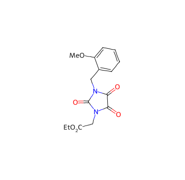 CCOC(=O)CN1C(=O)C(=O)N(Cc2ccccc2OC)C1=O